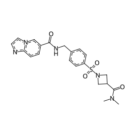 CN(C)C(=O)C1CN(S(=O)(=O)c2ccc(CNC(=O)c3ccc4nccn4c3)cc2)C1